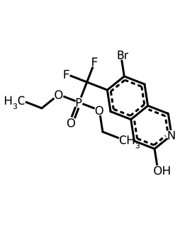 CCOP(=O)(OCC)C(F)(F)c1cc2cc(O)ncc2cc1Br